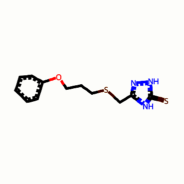 S=c1[nH]nc(CSCCCOc2ccccc2)[nH]1